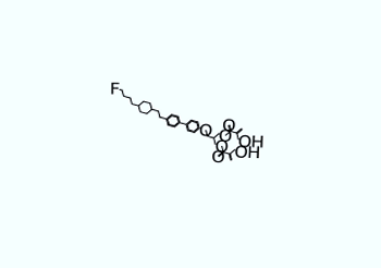 C=C(CO)C(=O)OCC(COC(=O)C(=C)CO)COc1ccc(-c2ccc(CCC3CCC(CCCCF)CC3)cc2)cc1